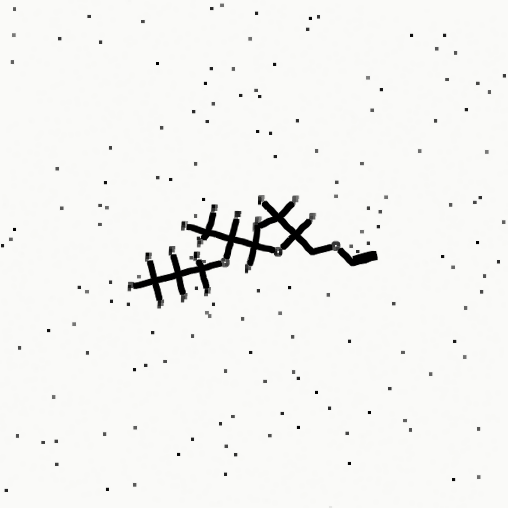 C=COCC(F)(OC(F)(F)C(F)(OC(F)(F)C(F)(F)C(F)(F)F)C(F)(F)F)C(F)(F)F